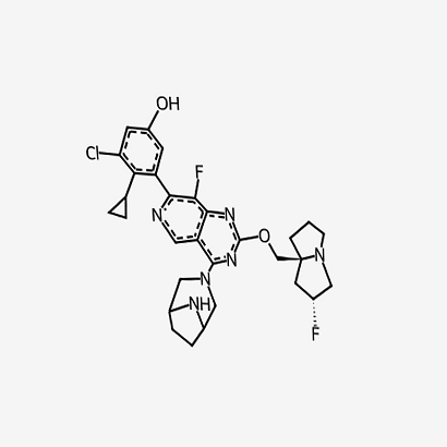 Oc1cc(Cl)c(C2CC2)c(-c2ncc3c(N4CC5CCC(C4)N5)nc(OC[C@@]45CCCN4C[C@H](F)C5)nc3c2F)c1